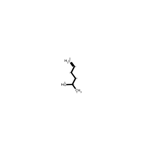 C=CCCC(C)O